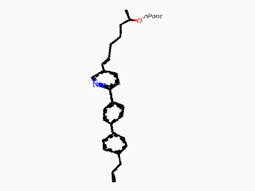 C=CCc1ccc(-c2ccc(-c3ccc(C=CCCCC(C)OCCCCC)cn3)cc2)cc1